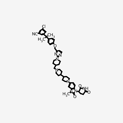 Cn1c(=O)n(C2CCC(=O)NC2=O)c2ccc(N3CCC(C4CCN(CC5CCN(c6nccc(COc7ccc(C(C)(C)c8cc(Cl)cc(C#N)c8)cc7)n6)CC5)CC4)CC3)cc21